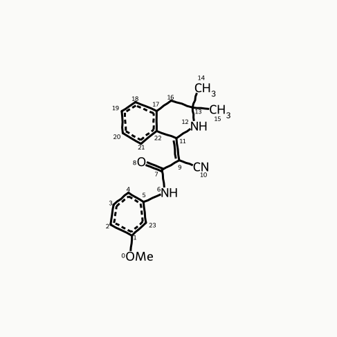 COc1cccc(NC(=O)C(C#N)=C2NC(C)(C)Cc3ccccc32)c1